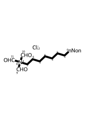 CCCCCCCCCCCCCCCC[N+](C=O)(C=O)C=O.[Cl-]